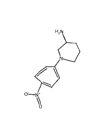 NC1CCCN(c2ccc([N+](=O)[O-])cc2)C1